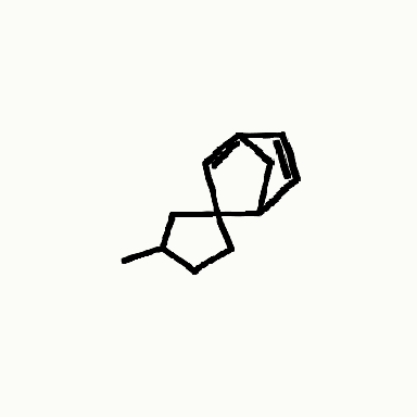 CC1CCC2(C=C3C=CC2C3)C1